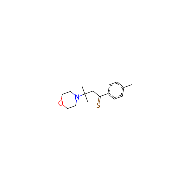 Cc1ccc(C(=S)CC(C)(C)N2CCOCC2)cc1